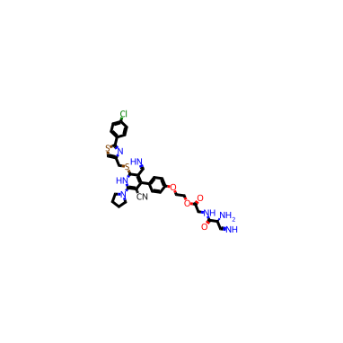 N#CC1=C(N2CCCC2)NC(SCc2csc(-c3ccc(Cl)cc3)n2)C(C=N)=C1c1ccc(OCCOC(=O)CNC(=O)[C@@H](N)C=N)cc1